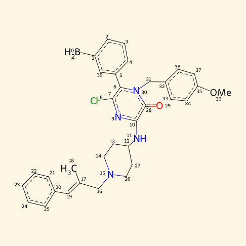 Bc1cccc(-c2c(Cl)nc(NC3CCN(C/C(C)=C/c4ccccc4)CC3)c(=O)n2Cc2ccc(OC)cc2)c1